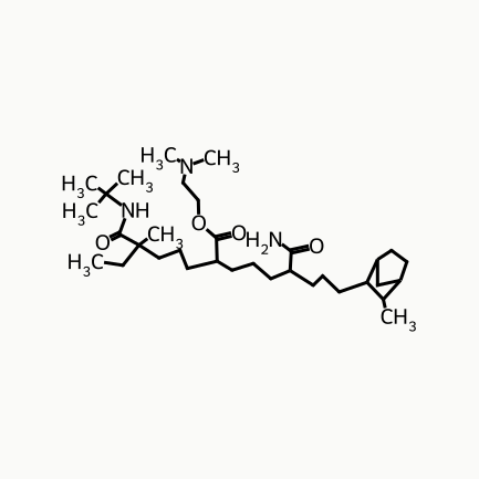 CCC(C)(CCCC(CCCC(CCCC1C2CCC(C2)C1C)C(N)=O)C(=O)OCCN(C)C)C(=O)NC(C)(C)C